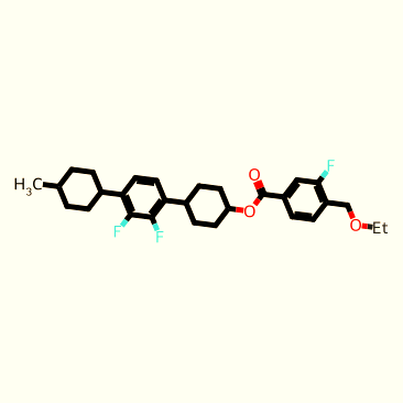 CCOCc1ccc(C(=O)OC2CCC(c3ccc(C4CCC(C)CC4)c(F)c3F)CC2)cc1F